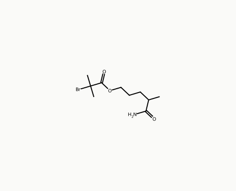 CC(CCCOC(=O)C(C)(C)Br)C(N)=O